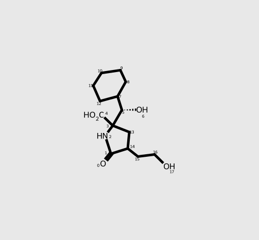 O=C1NC(C(=O)O)([C@@H](O)C2CCCCC2)CC1CCO